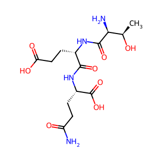 C[C@@H](O)[C@H](N)C(=O)N[C@@H](CCC(=O)O)C(=O)N[C@@H](CCC(N)=O)C(=O)O